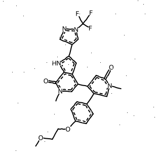 COCCOc1ccc(-c2cn(C)c(=O)cc2-c2cn(C)c(=O)c3[nH]c(-c4cnn(C(F)(F)F)c4)cc23)cc1